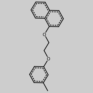 Cc1cccc(OCCOc2cccc3ccccc23)c1